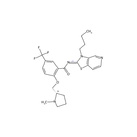 CCCCn1/c(=N/C(=O)c2cc(C(F)(F)F)ccc2OC[C@@H]2CCCN2C)sc2ccncc21